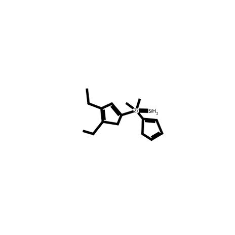 CCC1=C(CC)C[C]([Zr]([CH3])([CH3])(=[SiH2])[C]2=CC=CC2)=C1